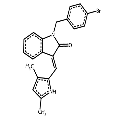 Cc1cc(C)c(C=C2C(=O)N(Cc3ccc(Br)cc3)c3ccccc32)[nH]1